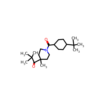 CC(C)(C)C(=O)C1(C)CCN(C(=O)C2CCC(C(C)(C)C)CC2)CC1